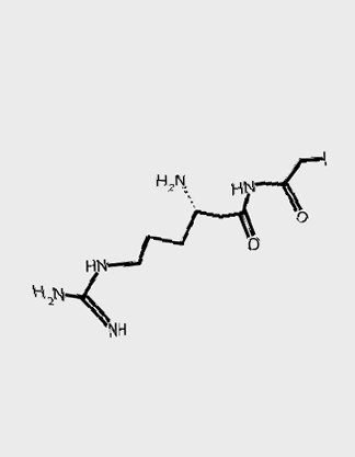 N=C(N)NCCC[C@H](N)C(=O)NC(=O)CI